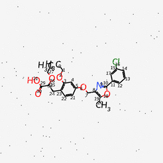 CCOc1cc(OCc2nc(-c3cccc(Cl)c3)oc2C)ccc1C[C@H](OCC)C(=O)O